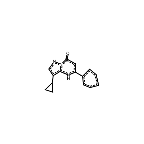 O=c1cc(-c2ccccc2)[nH]c2c(C3CC3)cnn12